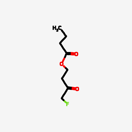 CCCC(=O)OCCC(=O)CF